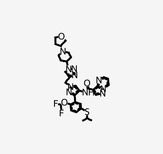 CC(C)Sc1ccc(OC(F)F)c(-c2nn(Cc3cn(C4CCN([C@@H]5CCOC5)CC4)nn3)cc2NC(=O)c2cnn3cccnc23)c1